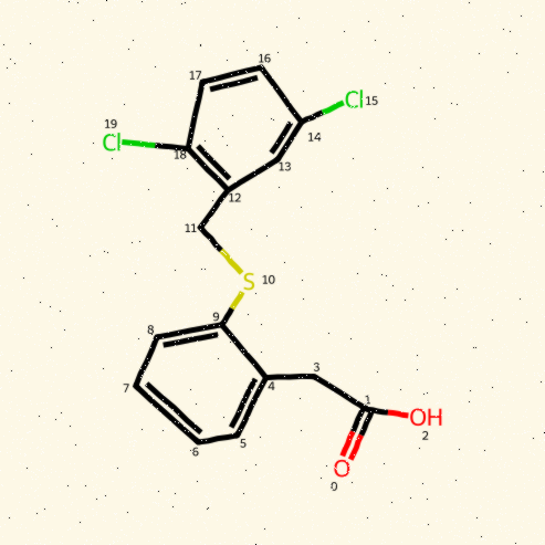 O=C(O)Cc1ccccc1SCc1cc(Cl)ccc1Cl